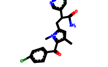 Cc1cc(CC(C(N)=O)c2cccnc2)n(C)c1C(=O)c1ccc(Cl)cc1